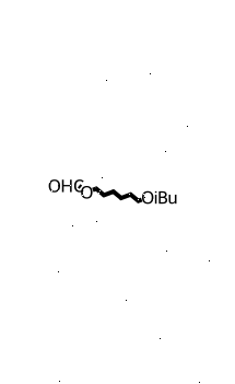 CC(C)COCCCCCCO[C]=O